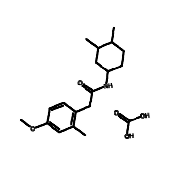 COc1ccc(CC(=O)NC2CCC(C)C(C)C2)c(C)c1.O=C(O)O